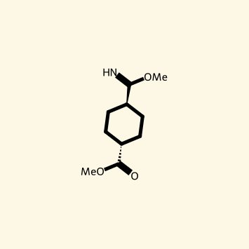 COC(=N)[C@H]1CC[C@H](C(=O)OC)CC1